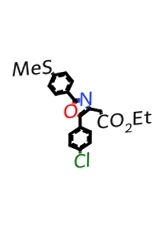 CCOC(=O)Cc1nc(-c2ccc(SC)cc2)oc1-c1ccc(Cl)cc1